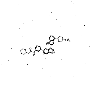 CN1CCN(c2cccc3[nH]c(-c4n[nH]c5cnc(-c6cncc(NC(=O)CC7CCCCC7)c6)cc45)cc23)CC1